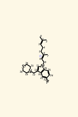 CC(C)=CCC/C(C)=C/Cn1cc(CN2CCSCC2)c2cc(F)ccc21